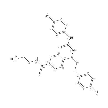 CC(C)c1ccc(NC(=O)NC(CCc2ccc(Cl)cc2)c2ccc(C(=O)NCCC(=O)O)cc2)cc1